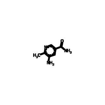 Cc1ncc(C(N)=O)cc1N